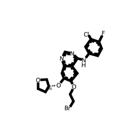 Fc1ccc(Nc2ncnc3cc(O[C@@H]4CCOC4)c(OCCBr)cc23)cc1Cl